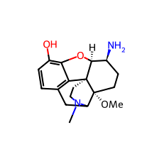 CO[C@@]12CC[C@H](N)[C@@H]3Oc4c(O)ccc5c4[C@@]31CCN(C)C2C5